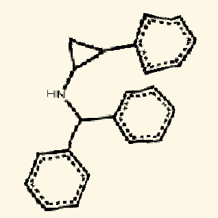 c1ccc(C(NC2CC2c2ccccc2)c2ccccc2)cc1